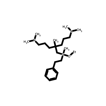 CCO[Si](C)(CCc1ccccc1)CC(C)(CCCN(C)C)CCCN(C)C